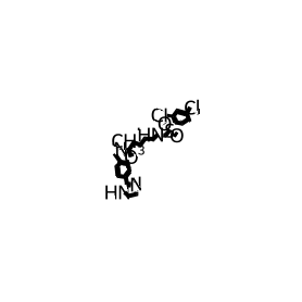 CN(Cc1ccc(C2=NCCN2)cc1)C(=O)CCCCNCS(=O)(=O)c1ccc(Cl)cc1Cl